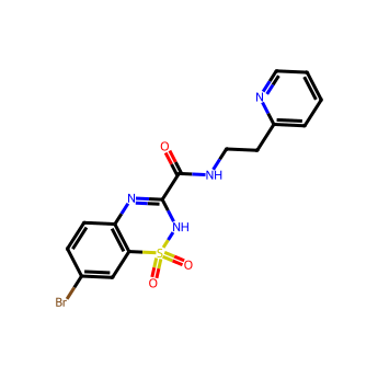 O=C(NCCc1ccccn1)C1=Nc2ccc(Br)cc2S(=O)(=O)N1